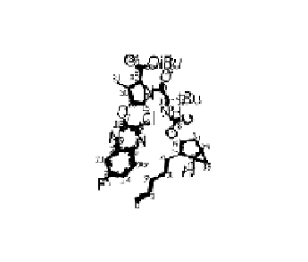 C=CCCC[C@H]1[C@H](OC(=O)N[C@H](C(=O)N2C[C@H](Oc3nc4cc(F)ccc4nc3Cl)[C@@H](C)[C@H]2C(=O)OCC(C)C)C(C)(C)C)CC2C[C@@H]21